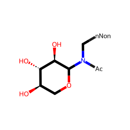 CCCCCCCCCCN(C(C)=O)C1OC[C@@H](O)[C@H](O)[C@H]1O